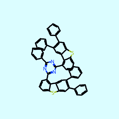 c1ccc(-c2nc(-c3cccc4sc5cc(-c6ccccc6)c(-c6ccccc6)cc5c34)nc(-c3cccc4sc5cc(-c6ccccc6)c(-c6ccccc6)cc5c34)n2)cc1